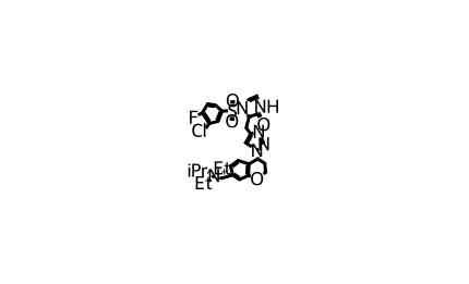 CC[N+](CC)(Cc1ccc2c(c1)OCCC2n1cc(CC2C(=O)NC=CN2S(=O)(=O)c2ccc(F)c(Cl)c2)nn1)C(C)C